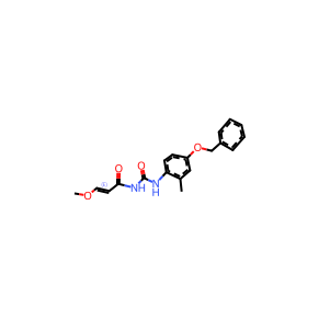 CO/C=C/C(=O)NC(=O)Nc1ccc(OCc2ccccc2)cc1C